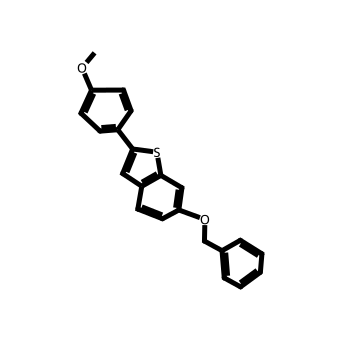 COc1ccc(-c2cc3ccc(OCc4ccccc4)cc3s2)cc1